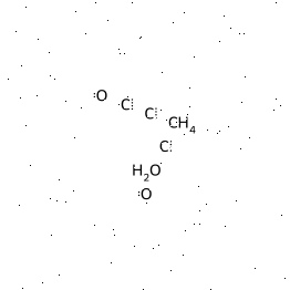 C.O.[C].[C].[C].[O].[O]